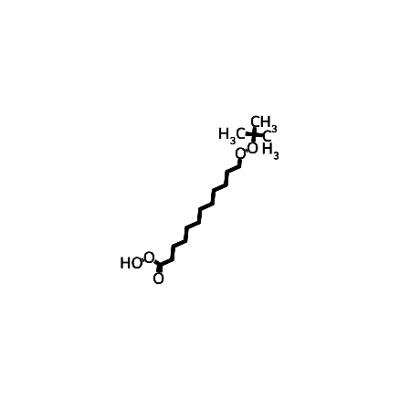 CC(C)(C)OOCCCCCCCCCCCC(=O)OO